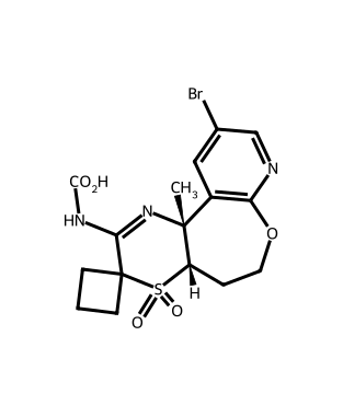 C[C@]12N=C(NC(=O)O)C3(CCC3)S(=O)(=O)[C@H]1CCOc1ncc(Br)cc12